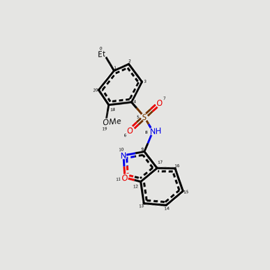 CCc1ccc(S(=O)(=O)Nc2noc3ccccc23)c(OC)c1